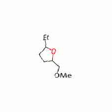 CCC1CCC(COC)O1